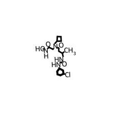 CC(CNC(=O)Nc1cccc(Cl)c1)CC(=O)N(CC(=O)NO)CC1CCC1